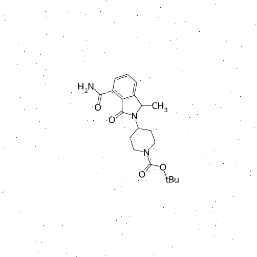 CC1c2cccc(C(N)=O)c2C(=O)N1C1CCN(C(=O)OC(C)(C)C)CC1